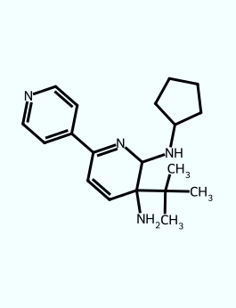 CC(C)(C)C1(N)C=CC(c2ccncc2)=NC1NC1CCCC1